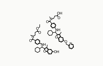 CCOC(=O)CCN(C)C(=O)c1ccc(NC(c2oc3ccc(O)cc3c2C)C2CCCCC2)cc1.Cc1c(C(Nc2ccc(C(=O)N(C)CCC(=O)O)cc2)C2CCCCC2)oc2ccc(OCc3ccccn3)cc12